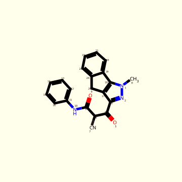 Cn1nc(C(=O)C(C#N)C(=O)Nc2ccccc2)c2c1-c1ccccc1C2